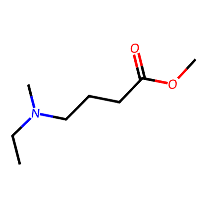 CCN(C)CCCC(=O)OC